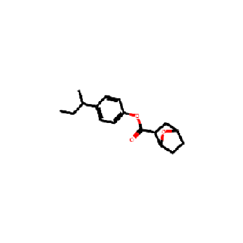 CCC(C)c1ccc(OC(=O)C2CC3CCC2O3)cc1